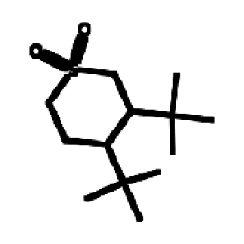 CC(C)(C)C1CCS(=O)(=O)CC1C(C)(C)C